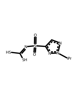 CC(C)n1ncc(S(=O)(=O)N=C(S)S)n1